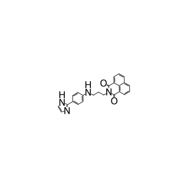 O=C1c2cccc3cccc(c23)C(=O)N1CCCNc1ccc(-c2ncc[nH]2)cc1